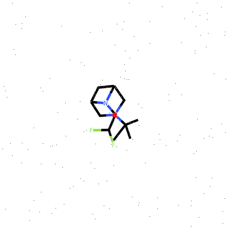 CC(C)(C)N1CC2CC(C1)N2CC(F)F